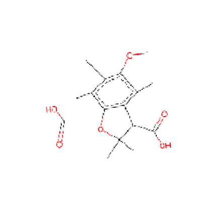 COc1c(C)c(C)c2c(c1C)C(C(=O)O)C(C)(C)O2.O=CO